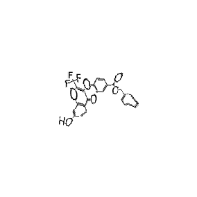 O=C(OCc1ccccc1)c1ccc(Oc2c(C(F)(F)F)oc3cc(O)ccc3c2=O)cc1